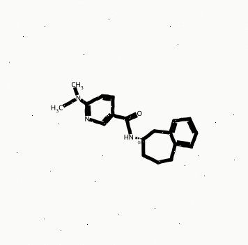 CN(C)c1ccc(C(=O)N[C@H]2CCCc3ccccc3C2)cn1